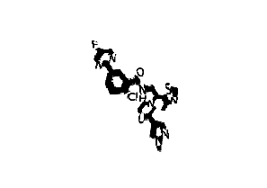 Cc1ncsc1C(CNC(=O)c1cc(-c2ncc(F)cn2)ccc1Cl)N1CCOC(c2cnn(C)c2)C1